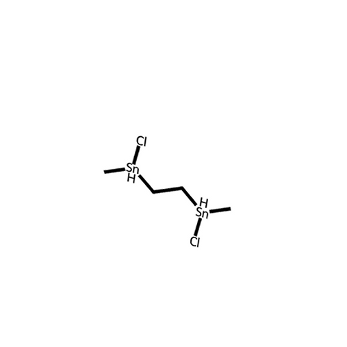 [CH3][SnH]([Cl])[CH2][CH2][SnH]([CH3])[Cl]